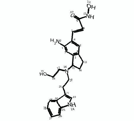 Nc1cc2c(cc1C=CC(=O)NO)CCC2N(CCO)CCc1c[nH]c2ccccc12